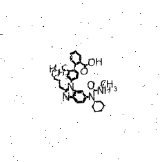 CCCCc1nc2ccc(N(C(=O)NC)C3CCCCC3)cc2n1-c1ccc(-c2ccccc2C(=O)O)c(C)c1